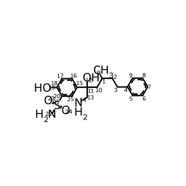 CC(CCc1ccccc1)CC(O)(CN)c1ccc(O)c(S(N)(=O)=O)c1